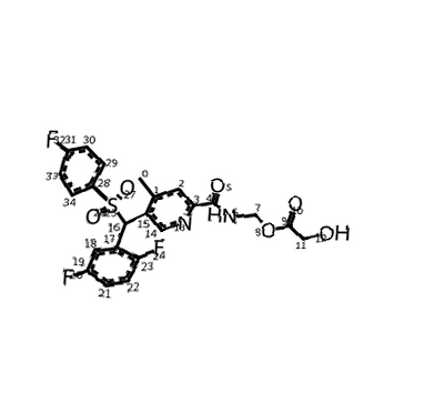 Cc1cc(C(=O)NCOC(=O)CO)ncc1C(c1cc(F)ccc1F)S(=O)(=O)c1ccc(F)cc1